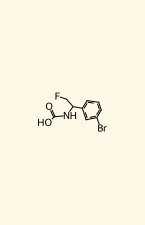 O=C(O)NC(CF)c1cccc(Br)c1